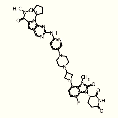 CN(C)C(=O)c1cc2cnc(Nc3ccc(N4CCN(C5CN(c6ccc(F)c7c6n(C)c(=O)n7[C@H]6CCC(=O)NC6=O)C5)CC4)cn3)nc2n1C1CCCC1